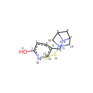 Oc1ccc(CN2C3CC2CN(SS)C3)cn1